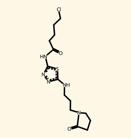 O=C(CCCCCl)Nc1nnc(NCCCN2CCCC2=O)s1